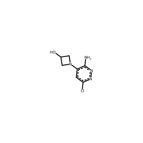 Nc1nnc(Cl)cc1N1CC(O)C1